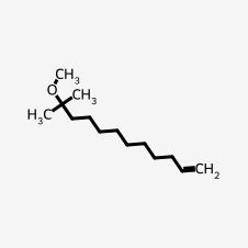 C=CCCCCCCCCC(C)(C)OC